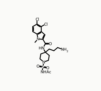 CC(=O)NS(=O)(=O)N1CCC(CCCN)(NC(=O)c2cc3c(Cl)c(Cl)ccc3n2C)CC1